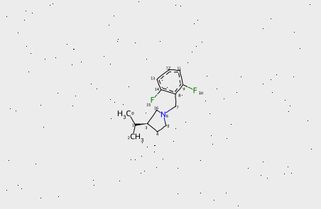 CC(C)[C@@H]1CCN(Cc2c(F)cccc2F)C1